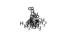 Cc1c(-c2cccc3c(CCCOc4cccc5ccccc45)c(C(=O)O)n(Cc4ccccc4CN(C(=O)OC(C)(C)C)C(=O)OC(C)(C)C)c23)c(CBr)nn1C